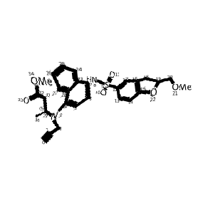 C#CCN(c1ccc(NS(=O)(=O)c2ccc3c(c2)CC(COC)O3)c2ccccc12)[C@@H](C)CC(=O)OC